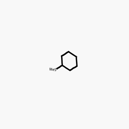 CS[C]1CC[CH]CC1